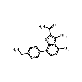 NCc1ccc(-c2ccc(C(F)(F)F)c3c(N)c(C(N)=O)sc23)cc1